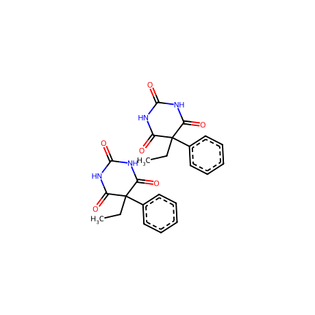 CCC1(c2ccccc2)C(=O)NC(=O)NC1=O.CCC1(c2ccccc2)C(=O)NC(=O)NC1=O